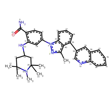 Cc1nn(-c2ccc(C(N)=O)c(NC3CC(C)(C)N(C)C(C)(C)C3)c2)c2cccc(-c3cnc4ccccc4c3)c12